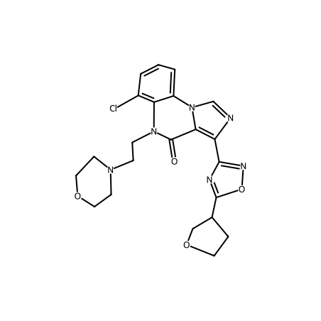 O=c1c2c(-c3noc(C4CCOC4)n3)ncn2c2cccc(Cl)c2n1CCN1CCOCC1